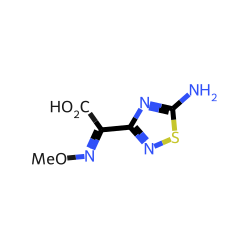 CON=C(C(=O)O)c1nsc(N)n1